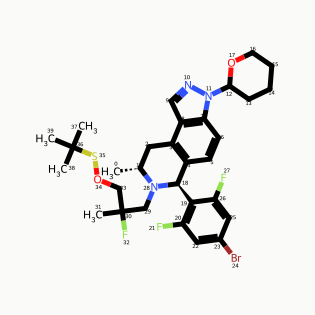 C[C@@H]1Cc2c(ccc3c2cnn3C2CCCCO2)[C@@H](c2c(F)cc(Br)cc2F)N1CC(C)(F)COSC(C)(C)C